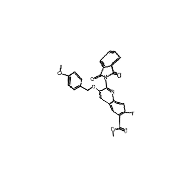 COC(=O)c1cc2cc(OCc3ccc(OC)cc3)c(N3C(=O)c4ccccc4C3=O)nc2cc1F